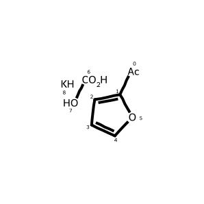 CC(=O)c1ccco1.O=C(O)O.[KH]